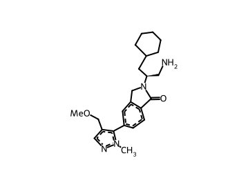 COCc1cnn(C)c1-c1ccc2c(c1)CN([C@H](CN)CC1CCCCC1)C2=O